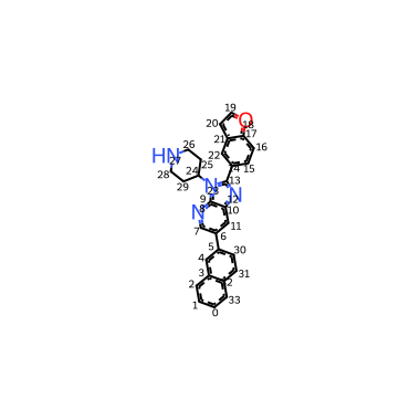 c1ccc2cc(-c3cnc4c(c3)nc(-c3ccc5occc5c3)n4C3CCNCC3)ccc2c1